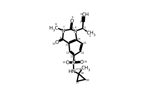 C#C[C@@H](C)n1c(=O)n(C)c(=O)c2cc(S(=O)(=O)NC3(C)CC3)ccc21